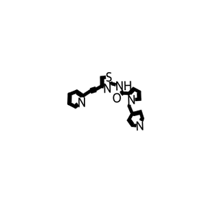 O=C(Nc1nc(C#Cc2ccccn2)cs1)c1cccn1Cc1ccncc1